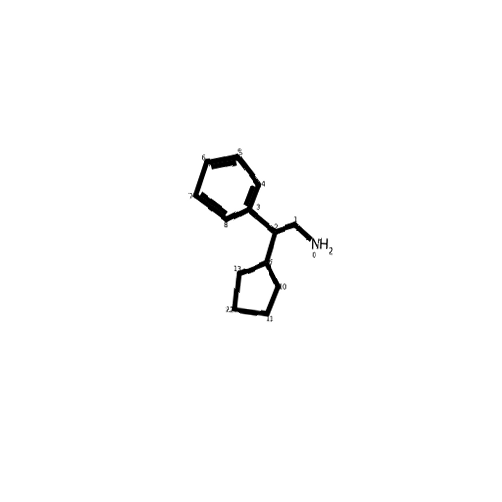 NCC(c1ccccc1)C1CCCC1